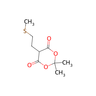 CSCCC1C(=O)OC(C)(C)OC1=O